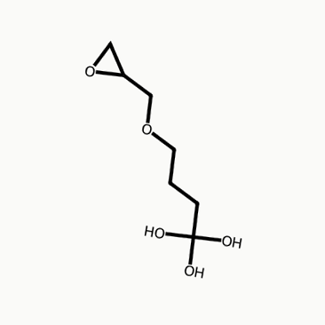 OC(O)(O)CCCOCC1CO1